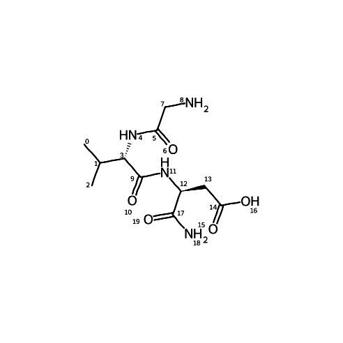 CC(C)[C@H](NC(=O)CN)C(=O)N[C@@H](CC(=O)O)C(N)=O